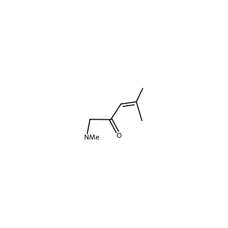 CNCC(=O)C=C(C)C